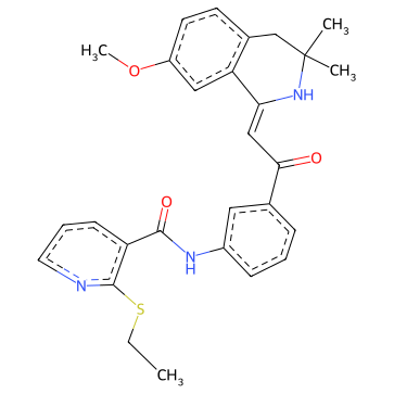 CCSc1ncccc1C(=O)Nc1cccc(C(=O)C=C2NC(C)(C)Cc3ccc(OC)cc32)c1